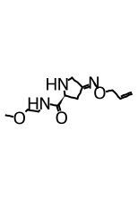 C=CCO/N=C1/CN[C@H](C(=O)NCCOC)C1